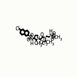 CC(C)N(CCNS(C)(=O)=O)C(=O)C(C)N1CCC(NS(=O)(=O)c2ccc3cc(Cl)ccc3c2)C1=O